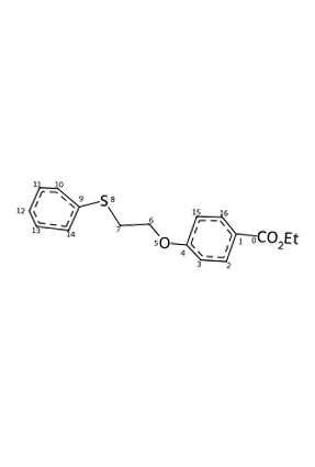 CCOC(=O)c1ccc(OCCSc2ccccc2)cc1